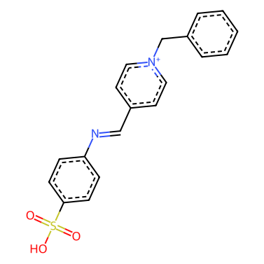 O=S(=O)(O)c1ccc(N=Cc2cc[n+](Cc3ccccc3)cc2)cc1